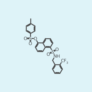 Cc1ccc(S(=O)(=O)Oc2cccc3c(S(=O)(=O)NCc4ccccc4C(F)(F)F)cccc23)cc1